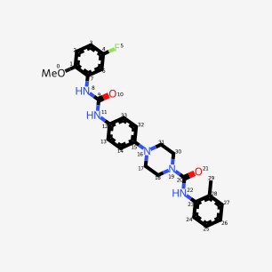 COc1ccc(F)cc1NC(=O)Nc1ccc(N2CCN(C(=O)Nc3ccccc3C)CC2)cc1